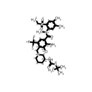 CCS(=O)(=O)c1cc(C)c(C)cc1N(C)C(=O)c1cc(C(F)(F)F)c(CN2CCC[C@@H](NC(=O)OC(C)(C)C)C2)c(Cl)c1N